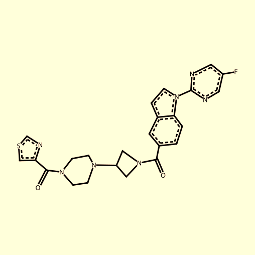 O=C(c1ccc2c(ccn2-c2ncc(F)cn2)c1)N1CC(N2CCN(C(=O)c3cscn3)CC2)C1